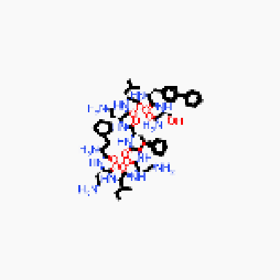 CCC(C)[C@H](NC(=O)[C@H](CCN)NC(=O)C(N)CC1CCCCC1)C(=O)N[C@@H](CCN)C(=O)N[C@H](Cc1ccccc1)C(=O)N[C@@H](CC(C)C)C(=O)N[C@@H](CCN)C(=O)N[C@H](CC(C)C)C(=O)N[C@@H](Cc1ccc(-c2ccccc2)cc1)C(=O)N[C@@H](CO)C(N)=O